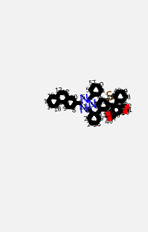 c1ccc(-c2nc(-c3ccc4c(ccc5ccccc54)c3)nc(-c3ccccc3-c3ccc4c(c3)C3(c5ccccc5S4)c4ccccc4-c4ccccc43)n2)cc1